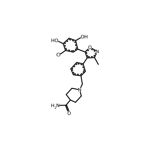 Cc1noc(-c2cc(Cl)c(O)cc2O)c1-c1cccc(CN2CCC(C(N)=O)CC2)c1